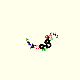 COC(=O)c1ccc2c(c1F)CCCC(Br)=C2c1ccc(OC[C@H]2CCN(CCCF)C2)cc1